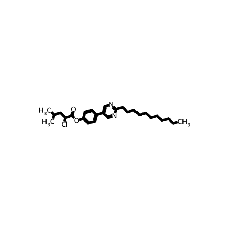 CCCCCCCCCCCc1ncc(-c2ccc(OC(=O)C(Cl)CC(C)C)cc2)cn1